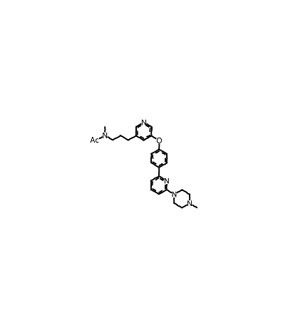 CC(=O)N(C)CCCc1cncc(Oc2ccc(-c3cccc(N4CCN(C)CC4)n3)cc2)c1